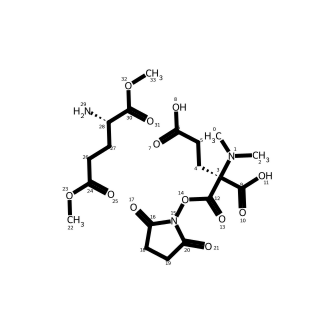 CN(C)[C@@](CCC(=O)O)(C(=O)O)C(=O)ON1C(=O)CCC1=O.COC(=O)CC[C@H](N)C(=O)OC